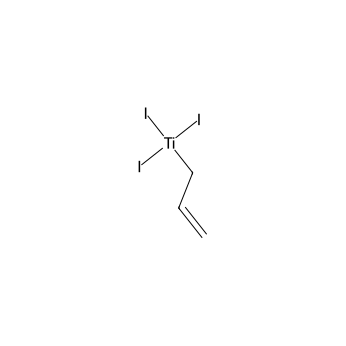 C=C[CH2][Ti]([I])([I])[I]